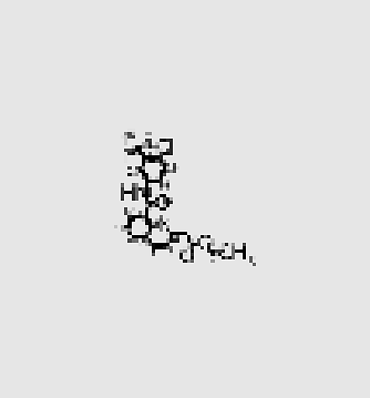 CCOC(=O)Cc1ccc2cccc(C(=O)Nc3ccc(Cl)c(C(F)(F)F)c3)c2n1